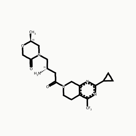 C[C@H]1CN(C[C@@H](N)CC(=O)N2CCc3c(nc(C4CC4)nc3C(F)(F)F)C2)C(=O)CO1